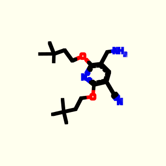 CC(C)(C)CCOc1nc(OCCC(C)(C)C)c(CN)cc1C#N